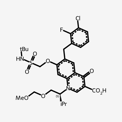 COCOC[C@H](C(C)C)n1cc(C(=O)O)c(=O)c2cc(Cc3cccc(Cl)c3F)c(OCS(=O)(=O)NC(C)(C)C)cc21